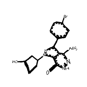 Nc1n[nH]c(=O)c2c1c(-c1ccc(Br)cc1)nn2C1CCC(O)C1